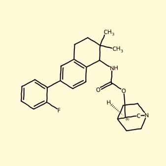 CC1(C)CCc2cc(-c3ccccc3F)ccc2C1NC(=O)O[C@H]1CN2CCC1CC2